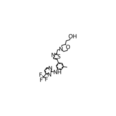 Cc1cc(Nc2nccc(C(F)(F)F)n2)cc(-c2cnc(CN3CCOC(CCO)C3)s2)c1